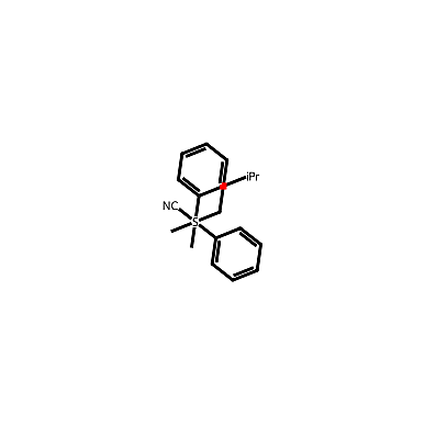 CC(C)CCS(C)(C)(C#N)(c1ccccc1)c1ccccc1